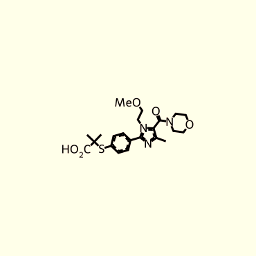 COCCn1c(-c2ccc(SC(C)(C)C(=O)O)cc2)nc(C)c1C(=O)N1CCOCC1